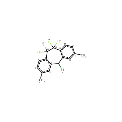 Cc1ccc2c(c1)C(Cl)c1cc(C)ccc1C(F)(F)C2(F)F